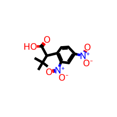 CC(C)(C)C(C(=O)O)c1ccc([N+](=O)[O-])cc1[N+](=O)[O-]